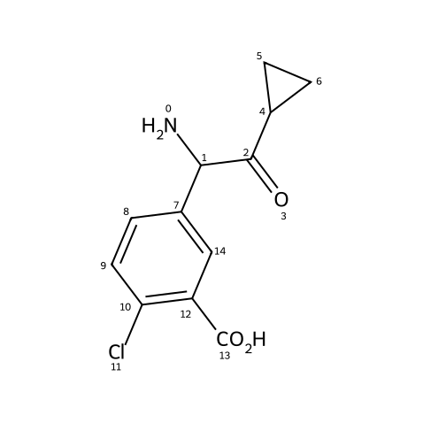 NC(C(=O)C1CC1)c1ccc(Cl)c(C(=O)O)c1